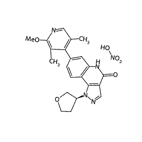 COc1ncc(C)c(-c2ccc3c(c2)[nH]c(=O)c2cnn([C@H]4CCOC4)c23)c1C.O=[N+]([O-])O